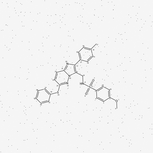 COc1ccc(S(=O)(=O)NCc2c(-c3ccc(C)cc3)nc3ccc(Sc4ccccc4)nn23)cc1